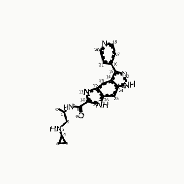 CC(CNC1CC1)NC(=O)c1nc2cc3c(-c4ccncc4)n[nH]c3cc2[nH]1